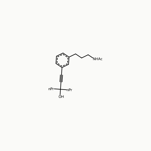 CCCC(O)(C#Cc1cccc(CCCNC(C)=O)c1)CCC